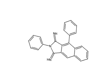 N=C1c2cc3ccccc3c(-c3ccccc3)c2C(=N)N1c1ccccc1